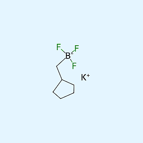 F[B-](F)(F)CC1CCCC1.[K+]